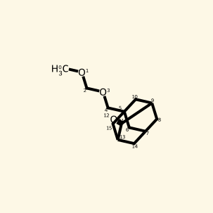 COCOCC12CC3CC(C1)C(=O)C(C3)C2